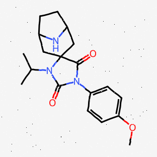 COc1ccc(N2C(=O)N(C(C)C)C3(CC4CCC(C3)N4)C2=O)cc1